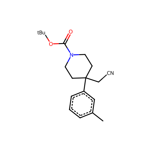 Cc1cccc(C2(CC#N)CCN(C(=O)OC(C)(C)C)CC2)c1